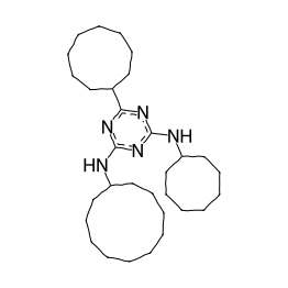 C1CCCCCC(Nc2nc(NC3CCCCCCC3)nc(C3CCCCCCCC3)n2)CCCC1